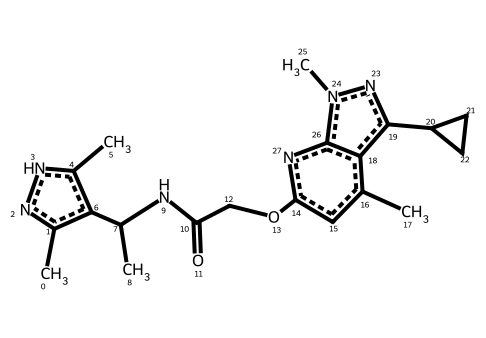 Cc1n[nH]c(C)c1C(C)NC(=O)COc1cc(C)c2c(C3CC3)nn(C)c2n1